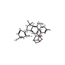 CNc1nc(NC2C3CC2CN(c2cc(C)ncn2)C3)nc2c1C(C)(C)CN2c1ccc(F)cc1F